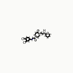 O=C(/C=C/c1ccc(Cl)c(Cl)c1)N1CCC(=O)N(CCNC2CCCCO2)CC1